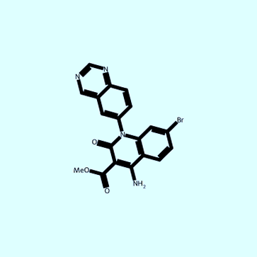 COC(=O)c1c(N)c2ccc(Br)cc2n(-c2ccc3ncncc3c2)c1=O